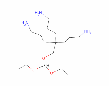 CCO[SiH](OCC)OCC(CCCN)(CCCN)CCCN